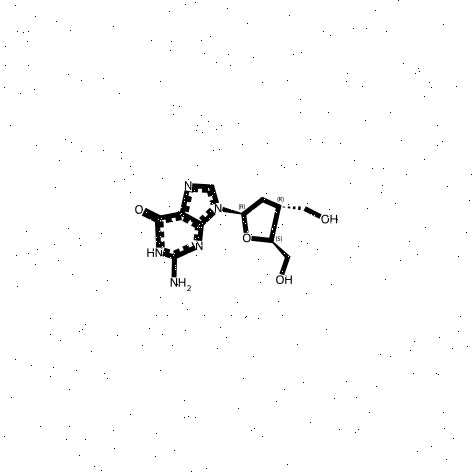 Nc1nc2c(ncn2[C@H]2C[C@H](CO)[C@@H](CO)O2)c(=O)[nH]1